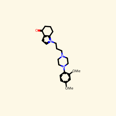 COc1ccc(N2CCN(CCCn3ccc4c3CCCC4=O)CC2)c(OC)c1